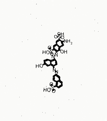 Nc1cc2c(O)c(/N=N/c3ccc(/N=N/c4ccc5c(S(=O)(=O)O)cccc5c4)c4cc(O)ccc34)c(S(=O)(=O)O)cc2cc1S(=O)(=O)O